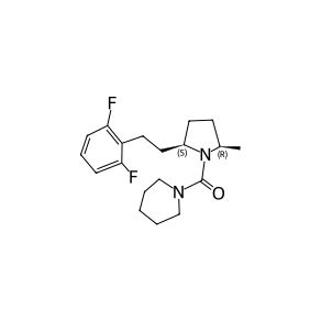 C[C@@H]1CC[C@H](CCc2c(F)cccc2F)N1C(=O)N1CCCCC1